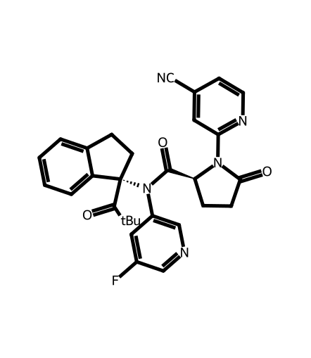 CC(C)(C)C(=O)[C@]1(N(C(=O)[C@@H]2CCC(=O)N2c2cc(C#N)ccn2)c2cncc(F)c2)CCc2ccccc21